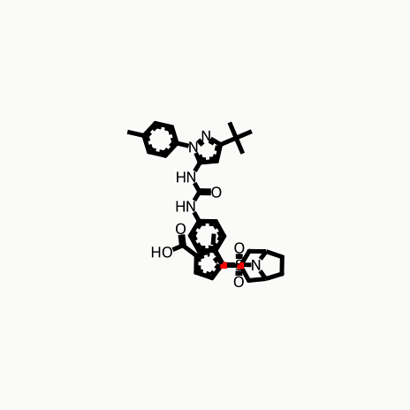 Cc1ccc(-n2nc(C(C)(C)C)cc2NC(=O)Nc2ccc(CC3CC4CCC(C3)N4S(=O)(=O)c3ccc(C(=O)O)n3C)cc2)cc1